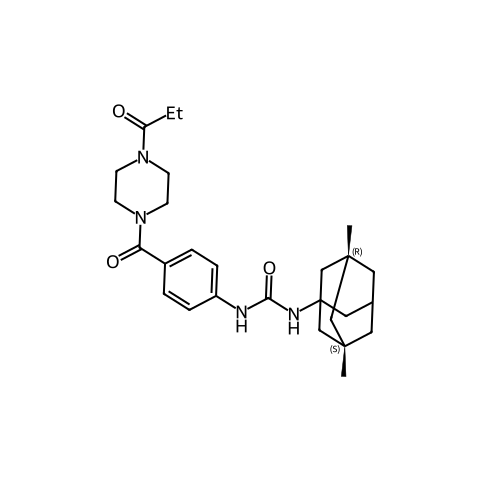 CCC(=O)N1CCN(C(=O)c2ccc(NC(=O)NC34CC5C[C@@](C)(C3)C[C@](C)(C5)C4)cc2)CC1